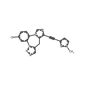 Cn1ccc(C#Cc2ncn3c2Cc2cnnn2-c2cc(Cl)ccc2-3)n1